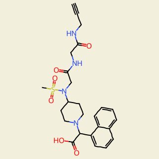 C#CCNC(=O)CNC(=O)CN(C1CCN(C(C(=O)O)c2cccc3ccccc23)CC1)S(C)(=O)=O